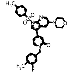 Cc1ccc(S(=O)(=O)n2cc(-c3ccn(Cc4ccc(C(F)(F)F)c(F)c4)c(=O)c3)c3cc(N4CCOCC4)cnc32)cc1